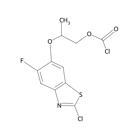 CC(COC(=O)Cl)Oc1cc2sc(Cl)nc2cc1F